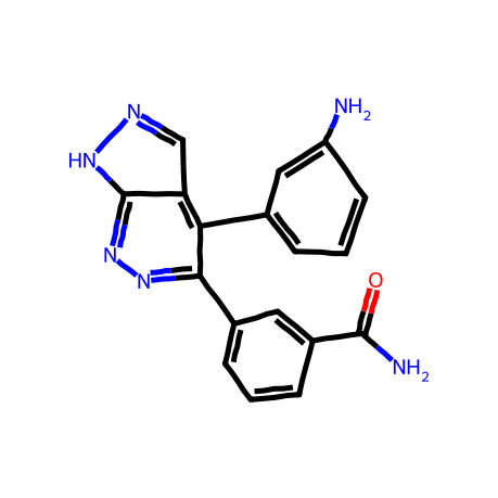 NC(=O)c1cccc(-c2nnc3[nH]ncc3c2-c2cccc(N)c2)c1